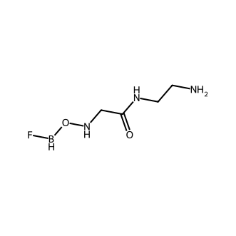 NCCNC(=O)CNOBF